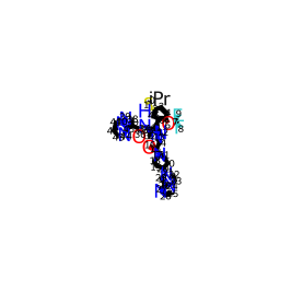 CC(C)Sc1ccc(OC(F)F)c(-c2nn(CC(=O)N3CCC(N4CCn5ccnc5C4)CC3)cc2NC(=O)c2cnn3cccnc23)c1